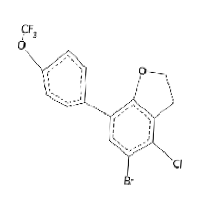 FC(F)(F)Oc1ccc(-c2cc(Br)c(Cl)c3c2OCC3)cc1